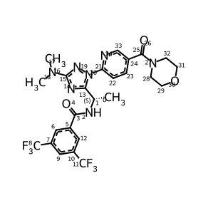 C[C@H](NC(=O)c1cc(C(F)(F)F)cc(C(F)(F)F)c1)c1nc(N(C)C)nn1-c1ccc(C(=O)N2CCOCC2)cn1